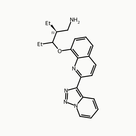 CCC(Oc1cccc2ccc(-c3nnn4ccccc34)nc12)[C@@H](CC)CN